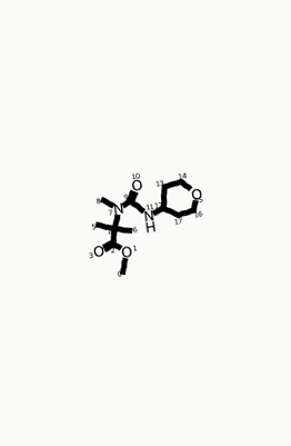 COC(=O)C(C)(C)N(C)C(=O)NC1CCOCC1